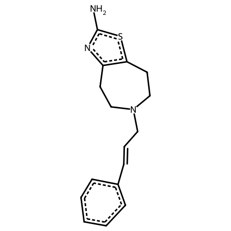 Nc1nc2c(s1)CCN(CC=Cc1ccccc1)CC2